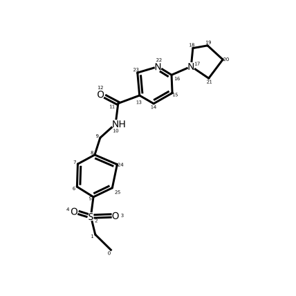 CCS(=O)(=O)c1ccc(CNC(=O)c2ccc(N3CCCC3)nc2)cc1